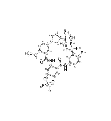 COc1ccc(C2=NOC(C(C)(C)O)C2)cc1C(=O)Nc1cc2c(cc1C(=O)Nc1ccc(F)c(C(F)(F)F)c1)OC(F)(F)O2